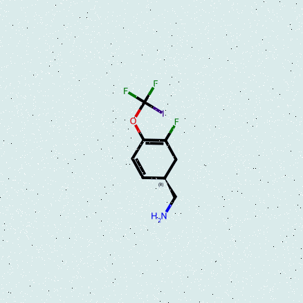 NC[C@H]1C=CC(OC(F)(F)I)=C(F)C1